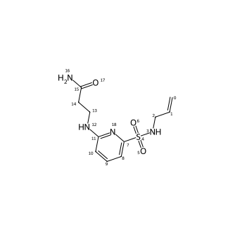 C=CCNS(=O)(=O)c1cccc(NCCC(N)=O)n1